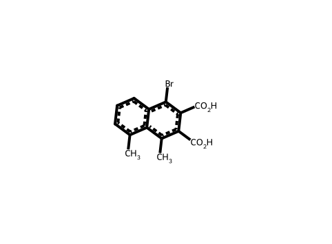 Cc1cccc2c(Br)c(C(=O)O)c(C(=O)O)c(C)c12